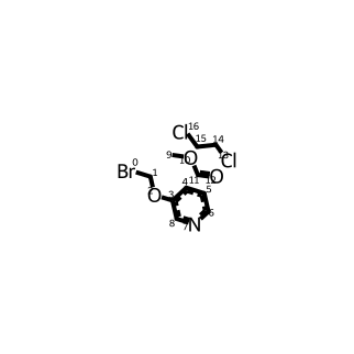 BrCOc1cccnc1.COC=O.ClCCCl